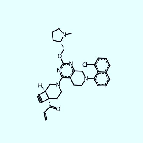 C=CC(=O)[C@]12C#C[C@H]1CN(c1nc(OC[C@@H]3CCCN3C)nc3c1CCN(c1cccc4cccc(Cl)c14)C3)CC2